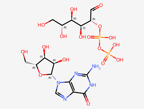 Nc1nc2c(ncn2[C@@H]2O[C@H](CO)[C@@H](O)[C@H]2O)c(=O)[nH]1.O=C[C@H](OP(=O)(O)OP(=O)(O)O)[C@@H](O)[C@H](O)[C@H](O)CO